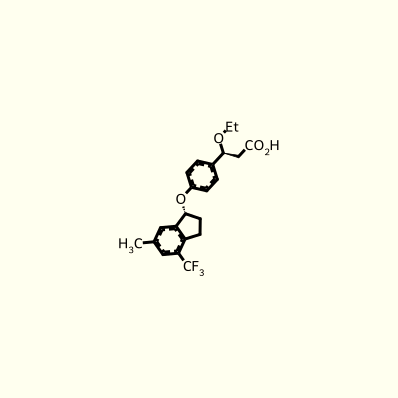 CCO[C@@H](CC(=O)O)c1ccc(O[C@@H]2CCc3c2cc(C)cc3C(F)(F)F)cc1